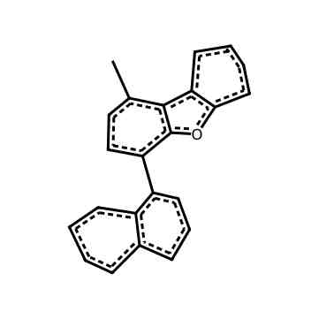 Cc1ccc(-c2cccc3ccccc23)c2oc3ccccc3c12